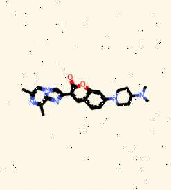 Cc1cn2cc(-c3cc4ccc(N5CCC(N(C)C)CC5)cc4oc3=O)nc2c(C)n1